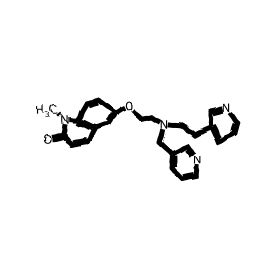 Cn1c(=O)ccc2cc(OCCN(CCc3cccnc3)Cc3cccnc3)ccc21